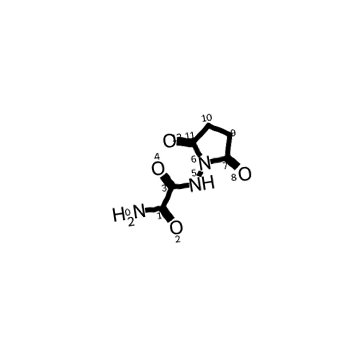 NC(=O)C(=O)NN1C(=O)CCC1=O